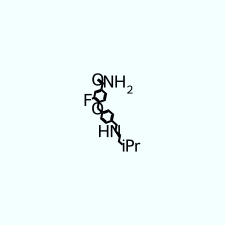 CC(C)CCNCc1ccc(Oc2ccc(C(N)=O)cc2F)cc1